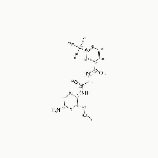 COC[C@@H]1C[C@H](N)CC[C@@H]1NC(=O)CNC(=O)c1cccc(C(F)(F)F)c1